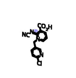 N#C/N=c1/c(C(=O)O)cccn1Cc1ccc(Cl)nc1